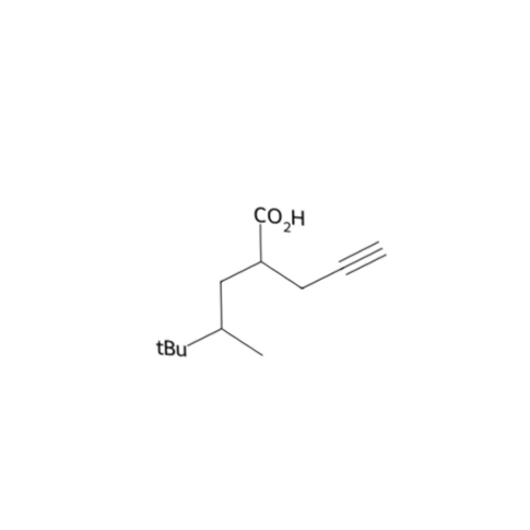 C#CCC(CC(C)C(C)(C)C)C(=O)O